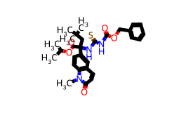 CC(C)OC(=O)C(CC(C)(C)C)(NC(=S)NC(=O)OCc1ccccc1)c1ccc2c(ccc(=O)n2C)c1